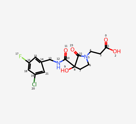 O=C(O)CCN1CCC(O)(C(=O)NCc2cc(F)cc(Cl)c2)C1=O